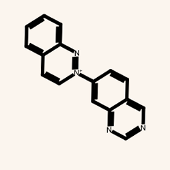 c1ccc2n[n+](-c3ccc4cncnc4c3)ccc2c1